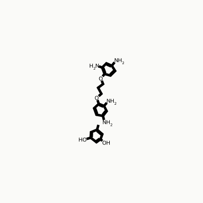 Cc1cc(O)cc(O)c1.Nc1ccc(OCCCOc2ccc(N)cc2N)c(N)c1